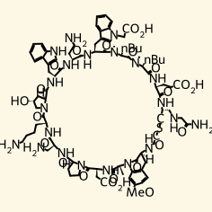 CCCC[C@H]1C(=O)N(C)[C@@H](CCCC)C(=O)N[C@@H](CCC(=O)O)C(=O)N[C@H](CNCC(N)=O)CSCC(=O)N[C@H]2Cc3ccc(OC)cc3N(C2=O)[C@@H](C)C(=O)N[C@@H](CC(=O)O)C(=O)N2CCC[C@H]2C(=O)N[C@@H](CN)C(=O)N[C@@H](CCCCN)C(=O)N2C[C@H](O)C[C@H]2C(=O)N[C@@H](Cc2c[nH]c3ccccc23)C(=O)N[C@@H](CCN)C(=O)N[C@@H](Cc2cn(CC(=O)O)c3ccccc23)C(=O)N1C